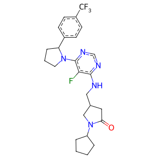 O=C1CC(CNc2ncnc(N3CCCC3c3ccc(C(F)(F)F)cc3)c2F)CN1C1CCCC1